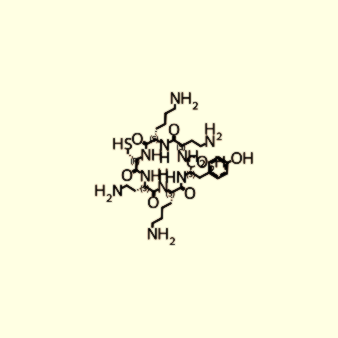 NCCCC[C@H](NC(=O)[C@H](CCN)NC(=O)[C@H](CS)NC(=O)[C@H](CCCCN)NC(=O)[C@@H](N)CCN)C(=O)N[C@@H](Cc1ccc(O)cc1)C(=O)O